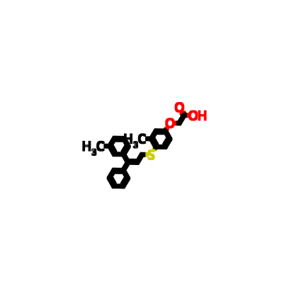 Cc1cccc(/C(=C\CSc2ccc(OCC(=O)O)cc2C)c2ccccc2)c1